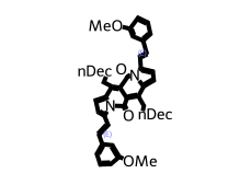 CCCCCCCCCCCc1c2c(=O)n3c(/C=C/c4cccc(OC)c4)ccc3c(CCCCCCCCCCC)c2c(=O)n2c(/C=C/c3cccc(OC)c3)ccc12